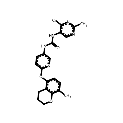 Cc1ncc(NC(=O)Nc2ccc(Oc3ccc(C)c4c3CCCO4)nc2)c(Cl)n1